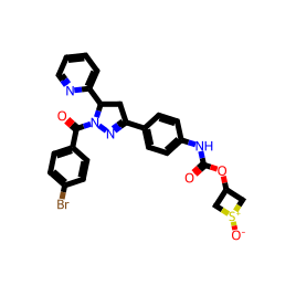 O=C(Nc1ccc(C2=NN(C(=O)c3ccc(Br)cc3)C(c3ccccn3)C2)cc1)OC1C[S+]([O-])C1